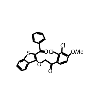 COc1ccc(C(=O)COc2c(C(=O)c3ccccc3)sc3ccccc23)c(Cl)c1Cl